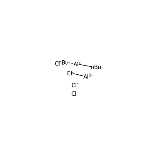 CCC[CH2][Al+][CH2]CCC.C[CH2][Al+2].[Cl-].[Cl-].[Cl-]